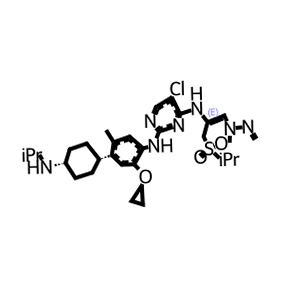 C=NN(C)/C=C(\CS(=O)(=O)C(C)C)Nc1nc(Nc2cc(C)c([C@H]3CC[C@@H](NC(C)C)CC3)cc2OC2CC2)ncc1Cl